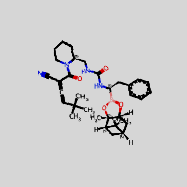 CC(C)(C)C=C=C(C#N)C(=O)N1CCCC[C@H]1CNC(=O)N[C@@H](Cc1ccccc1)B1O[C@@H]2C[C@@H]3C[C@@H](C3(C)C)[C@]2(C)O1